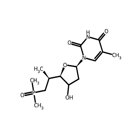 Cc1cn([C@H]2CC(O)[C@@H]([C@H](C)CP(C)(C)=O)O2)c(=O)[nH]c1=O